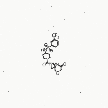 O=C1COCC2(CN(C(=O)N3CCC(NS(=O)(=O)c4cccc(C(F)(F)F)c4)CC3)C2)N1